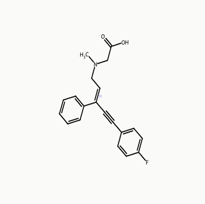 CN(C/C=C(/C#Cc1ccc(F)cc1)c1ccccc1)CC(=O)O